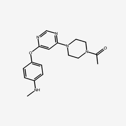 CNc1ccc(Oc2cc(N3CCN(C(C)=O)CC3)ncn2)cc1